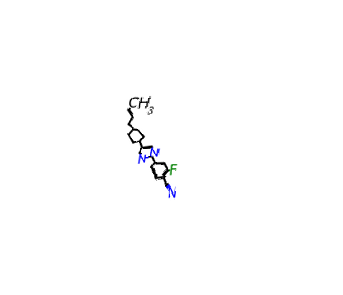 CCCCC1CCC(c2cnc(-c3ccc(C#N)c(F)c3)nc2)CC1